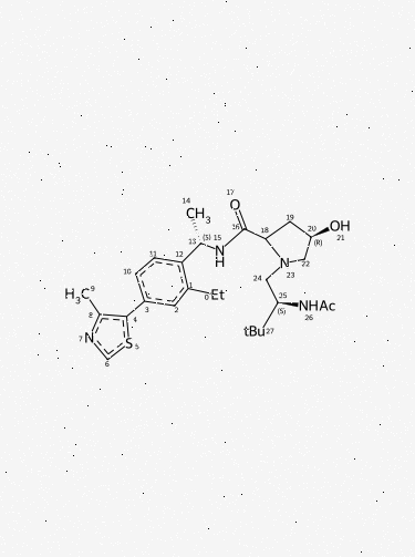 CCc1cc(-c2scnc2C)ccc1[C@H](C)NC(=O)C1C[C@@H](O)CN1C[C@@H](NC(C)=O)C(C)(C)C